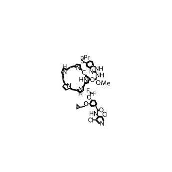 C1=Cc2cc3ccc([nH]3)c3ccc(cc4nc(cc5ccc(cc1n2)[nH]5)C=C4)[nH]3.CCCSc1ccc2[nH]c(NC(=O)OC)nc2c1.O=C(Nc1c(Cl)cncc1Cl)c1ccc(OC(F)F)c(OCC2CC2)c1